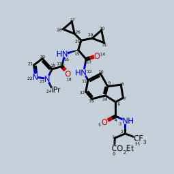 CCOC(=O)CC(NC(=O)C1CCc2cc(NC(=O)[C@@H](NC(=O)c3ccnn3C(C)C)C(C3CC3)C3CC3)ccc21)C(F)(F)F